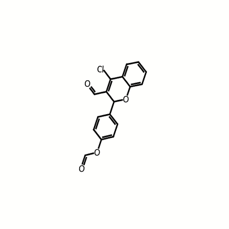 O=COc1ccc(C2Oc3ccccc3C(Cl)=C2C=O)cc1